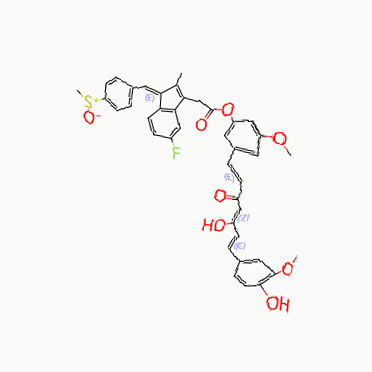 COc1cc(/C=C/C(=O)/C=C(O)/C=C/c2ccc(O)c(OC)c2)cc(OC(=O)CC2=C(C)/C(=C/c3ccc([S+](C)[O-])cc3)c3ccc(F)cc32)c1